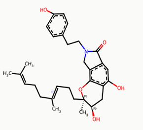 CC(C)=CCC/C(C)=C/CC[C@@]1(C)Oc2c(c(O)cc3c2CN(CCc2ccc(O)cc2)C3=O)C[C@H]1O